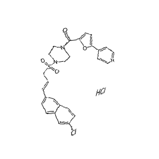 Cl.O=C(c1ccc(-c2ccncc2)o1)N1CCN(S(=O)(=O)CC=Cc2ccc3cc(Cl)ccc3c2)CC1